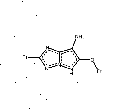 CCOc1[nH]n2nc(CC)nc2c1N